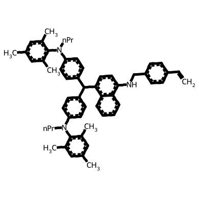 C=Cc1ccc(CNc2ccc(C(c3ccc(N(CCC)c4c(C)cc(C)cc4C)cc3)c3ccc(N(CCC)c4c(C)cc(C)cc4C)cc3)c3ccccc23)cc1